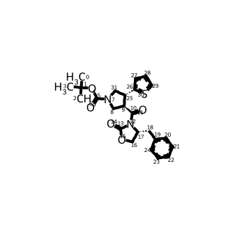 CC(C)(C)OC(=O)N1C[C@H](C(=O)N2C(=O)OC[C@H]2Cc2ccccc2)[C@@H](c2cccs2)C1